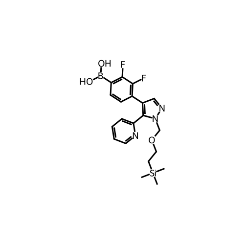 C[Si](C)(C)CCOCn1ncc(-c2ccc(B(O)O)c(F)c2F)c1-c1ccccn1